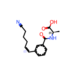 C[C@@H](NC(=O)c1cccc(/C=C\CCCC#N)c1)C(=O)O